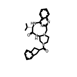 CC(C)[C@@H]1Nc2nc(nc3ccccc23)CN2CCN(C(=O)C3Cc4ccccc4C3)CC2NC1=O